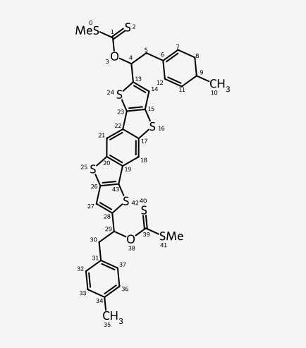 CSC(=S)OC(CC1=CCC(C)C=C1)c1cc2sc3cc4c(cc3c2s1)sc1cc(C(Cc2ccc(C)cc2)OC(=S)SC)sc14